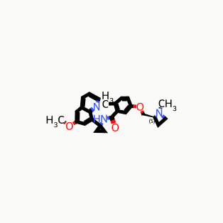 COc1cc(C2(NC(=O)c3cc(OC[C@@H]4CCN4C)ccc3C)CC2)c2ncccc2c1